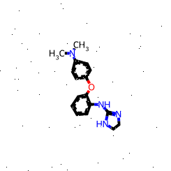 CN(C)c1ccc(Oc2ccccc2NC2=NCCN2)cc1